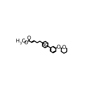 COC(=O)C=CCCC12CCC(c3cccc(OC4CCCCO4)c3)(CC1)OC2